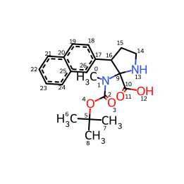 CN(C(=O)OC(C)(C)C)C1(C(=O)O)NCCC1c1ccc2ccccc2c1